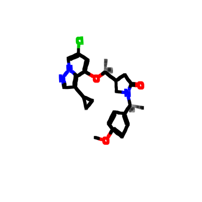 COc1ccc([C@@H](C)N2CC([C@@H](C)Oc3cc(Cl)cn4ncc(C5CC5)c34)CC2=O)cc1